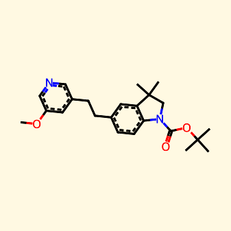 COc1cncc(CCc2ccc3c(c2)C(C)(C)CN3C(=O)OC(C)(C)C)c1